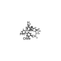 COc1ncc(-c2c(-c3ccc(F)cc3)nc(N)n3nc(CN4CCCCC4)nc23)cc1C